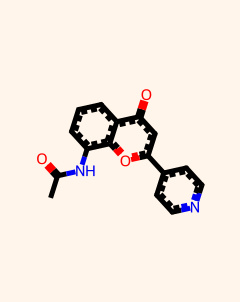 CC(=O)Nc1cccc2c(=O)cc(-c3ccncc3)oc12